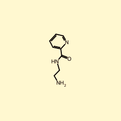 NCCNC(=O)c1ccccn1